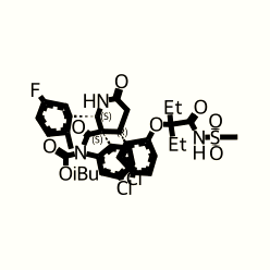 CCC(CC)(Oc1ccc(Cl)cc1[C@H]1CC(=O)N[C@@H](c2cc(F)ccc2C)[C@]12C(=O)N(C(=O)OCC(C)C)c1cc(Cl)ccc12)C(=O)NS(C)(=O)=O